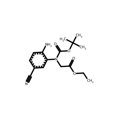 CCOC(=O)CN(C(=O)OC(C)(C)C)c1cc(C#N)ccc1N